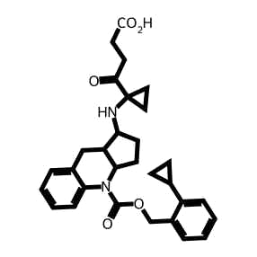 O=C(O)CCC(=O)C1(NC2CCC3C2Cc2ccccc2N3C(=O)OCc2ccccc2C2CC2)CC1